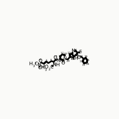 CN(C)C(=O)/C=C/CCC(NC(=O)O)C(=O)Nc1cccn(Cc2cc3ncc(F)c(OCc4ccccc4)c3[nH]2)c1=O